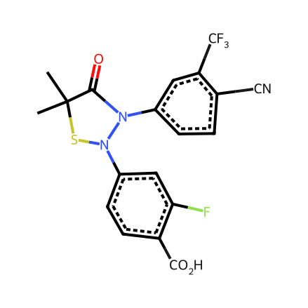 CC1(C)SN(c2ccc(C(=O)O)c(F)c2)N(c2ccc(C#N)c(C(F)(F)F)c2)C1=O